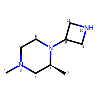 C[C@H]1CN(C)CCN1C1CNC1